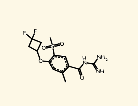 Cc1cc(OC2CC(F)(F)C2)c(S(C)(=O)=O)cc1C(=O)NC(=N)N